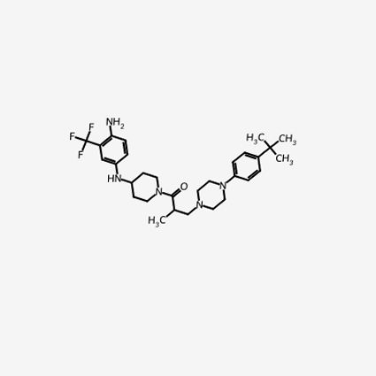 CC(CN1CCN(c2ccc(C(C)(C)C)cc2)CC1)C(=O)N1CCC(Nc2ccc(N)c(C(F)(F)F)c2)CC1